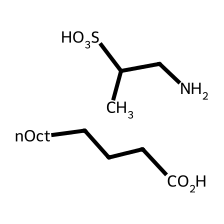 CC(CN)S(=O)(=O)O.CCCCCCCCCCCC(=O)O